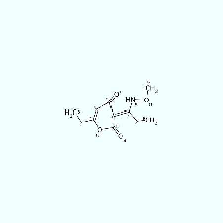 CCC1=CC(=O)C(=C(CC)NOC)C(=O)O1